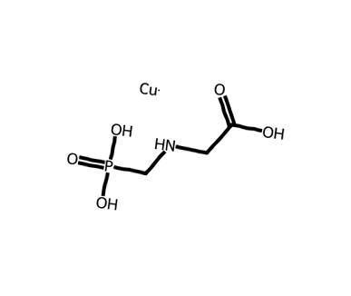 O=C(O)CNCP(=O)(O)O.[Cu]